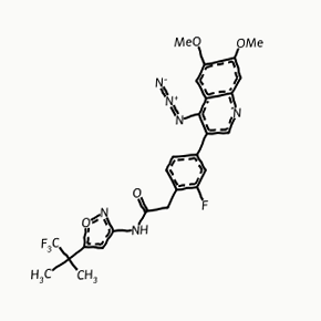 COc1cc2ncc(-c3ccc(CC(=O)Nc4cc(C(C)(C)C(F)(F)F)on4)c(F)c3)c(N=[N+]=[N-])c2cc1OC